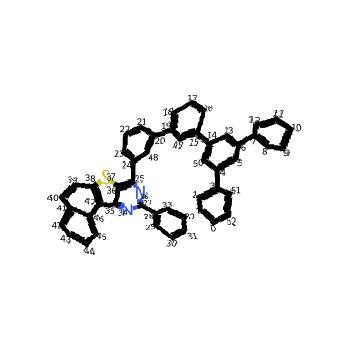 c1ccc(-c2cc(-c3ccccc3)cc(-c3cccc(-c4cccc(-c5nc(-c6ccccc6)nc6c5sc5ccc7ccccc7c56)c4)c3)c2)cc1